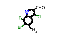 Cc1cc2c(Cl)c(C=O)cnc2c(F)c1Br